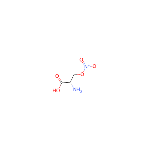 N[C@@H](CO[N+](=O)[O-])C(=O)O